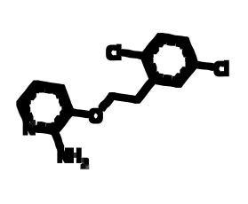 Nc1ncccc1OCCc1cc(Cl)ccc1Cl